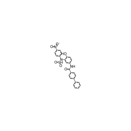 O=C(Nc1ccc(O)c(N(c2ccc([N+](=O)[O-])cc2)[SH](=O)=O)c1)c1ccc(-c2ccccc2)cc1